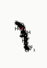 C=CC(=O)Nc1cc(Nc2nc(-c3ccnc(N4CCn5c(cc6c5CC(C)(C)C6)C4=O)c3CO)cn(C)c2=O)ccc1N1CCN(C2CCN(c3ccc(Cl)c(C(C)(C)C(F)(F)F)c3)CC2)C[C@@H]1C